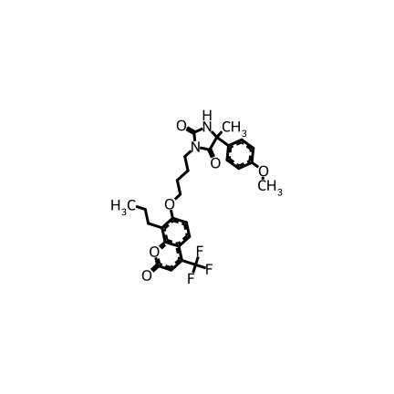 CCCc1c(OCCCCN2C(=O)NC(C)(c3ccc(OC)cc3)C2=O)ccc2c(C(F)(F)F)cc(=O)oc12